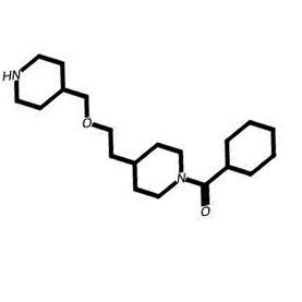 O=C(C1CCCCC1)N1CCC(CCOCC2CCNCC2)CC1